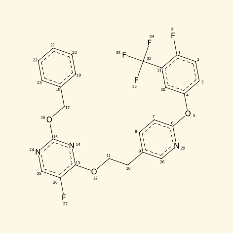 Fc1ccc(Oc2ccc(CCOc3nc(OCc4ccccc4)ncc3F)cn2)cc1C(F)(F)F